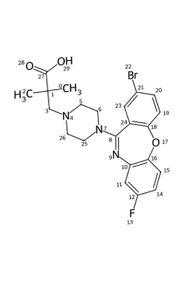 CC(C)(CN1CCN(C2=Nc3cc(F)ccc3Oc3ccc(Br)cc32)CC1)C(=O)O